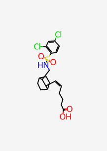 O=C(O)CCC/C=C\C1C2CCC(CC2)C1CNS(=O)(=O)c1ccc(Cl)cc1Cl